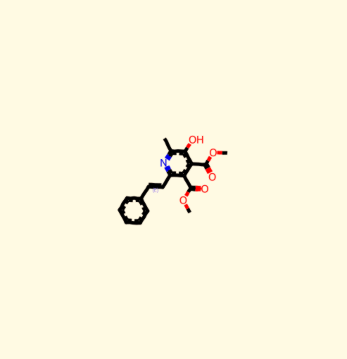 COC(=O)c1c(/C=C/c2ccccc2)nc(C)c(O)c1C(=O)OC